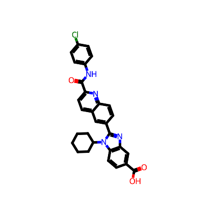 O=C(O)c1ccc2c(c1)nc(-c1ccc3nc(C(=O)Nc4ccc(Cl)cc4)ccc3c1)n2C1CCCCC1